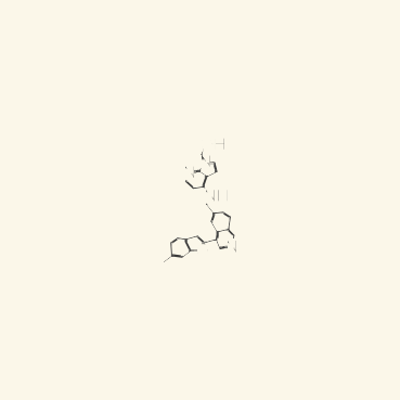 Cc1ccc2cc(-c3cncc4ccc(CNc5ccnc6c5ccn6CO)cc34)oc2c1